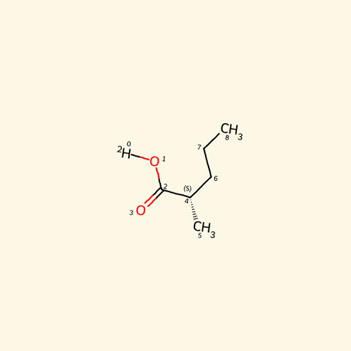 [2H]OC(=O)[C@@H](C)CCC